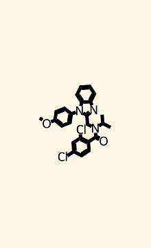 COc1ccc(-n2c(CN(C(=O)c3ccc(Cl)cc3Cl)C(C)C)nc3ccccc32)cc1